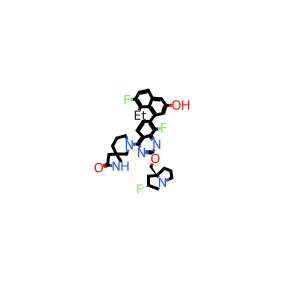 CCc1c(F)ccc2cc(O)cc(-c3ccc4c(N5CCCC6(CNC(=O)C6)C5)nc(OC[C@@]56CCCN5C[C@H](F)C6)nc4c3F)c12